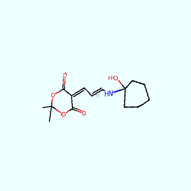 CC1(C)OC(=O)C(=C/C=C/NC2(O)CCCCC2)C(=O)O1